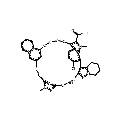 Cn1nc2cc1CSc1cc(c3ccccc3c1)OCCCc1c(C(=O)O)n(C)c3c(c(Cl)ccc13)-c1c(nn3c1CCCC3)CNC2